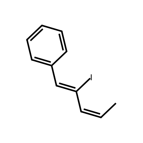 C/C=C\C(I)=C\c1ccccc1